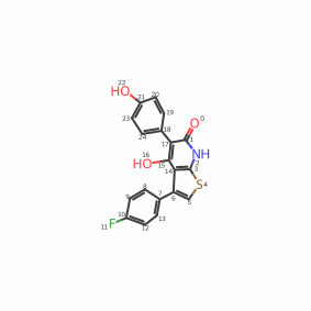 O=c1[nH]c2scc(-c3ccc(F)cc3)c2c(O)c1-c1ccc(O)cc1